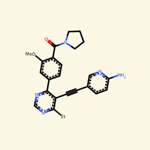 CCc1ncnc(-c2ccc(C(=O)N3CCCC3)c(OC)c2)c1C#Cc1ccc(N)nc1